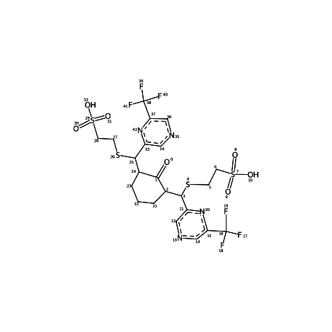 O=C1C(C(SCCS(=O)(=O)O)c2cncc(C(F)(F)F)n2)CCCC1C(SCCS(=O)(=O)O)c1cncc(C(F)(F)F)n1